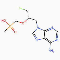 CP(=O)(O)CO[C@H](CF)Cn1cnc2c(N)ncnc21